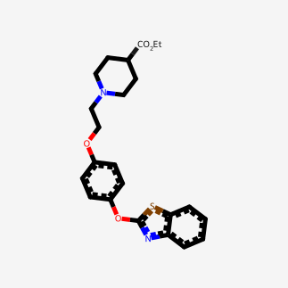 CCOC(=O)C1CCN(CCOc2ccc(Oc3nc4ccccc4s3)cc2)CC1